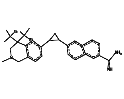 CCC(C)(C)C1(C(C)(C)CC)CN(C)Cc2ccc(C3CC3c3ccc4cc(C(=N)N)ccc4c3)cc21